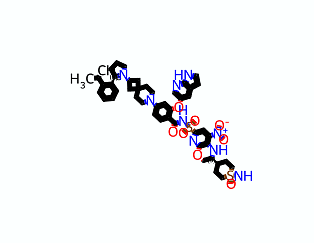 CC(C)c1ccccc1[C@H]1CCCN1C1CC2(CCN(c3ccc(C(=O)NS(=O)(=O)c4cc([N+](=O)[O-])c5c(n4)OC[C@H](C4CCS(=N)(=O)CC4)N5)c(Oc4cnc5[nH]ccc5c4)c3)CC2)C1